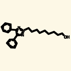 OCCCCCCCCCn1nc(-c2ccccc2)c(-c2ccccc2)n1